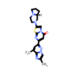 Cc1cn2nc(-c3cc(=O)n4cc(N5CCN6CCC[C@@H]6C5)sc4n3)cc(C(F)(F)F)c2n1